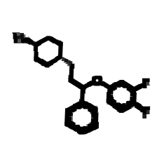 CC[C@H]1CC[C@H](CCC(Oc2ccc(F)c(F)c2)c2ccccc2)CC1